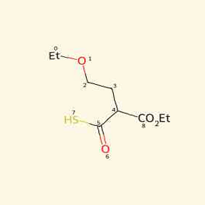 CCOCCC(C(=O)S)C(=O)OCC